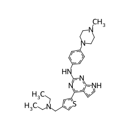 CCN(CC)Cc1csc(-c2nc(Nc3ccc(N4CCN(C)CC4)cc3)nc3[nH]ccc23)c1